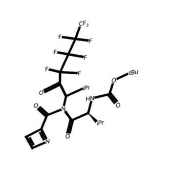 CC(C)C(C(=O)C(F)(F)C(F)(F)C(F)(F)C(F)(F)F)N(C(=O)C1=NC=C1)C(=O)[C@@H](NC(=O)OC(C)(C)C)C(C)C